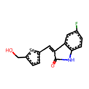 O=C1Nc2ccc(F)cc2C1=Cc1ccc(CO)[se]1